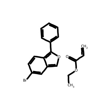 Brc1ccc2c(-c3ccccc3)occ2c1.C=CC(=O)OCC